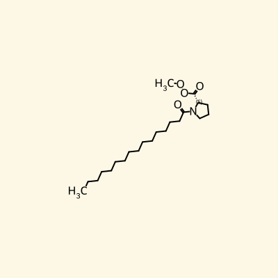 CCCCCCCCCCCCCCCC(=O)N1CCC[C@H]1C(=O)OOC